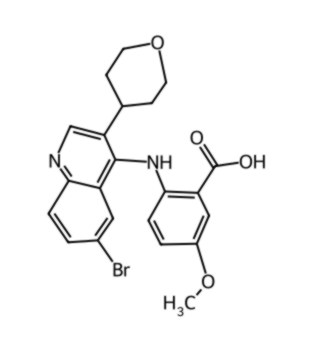 COc1ccc(Nc2c(C3CCOCC3)cnc3ccc(Br)cc23)c(C(=O)O)c1